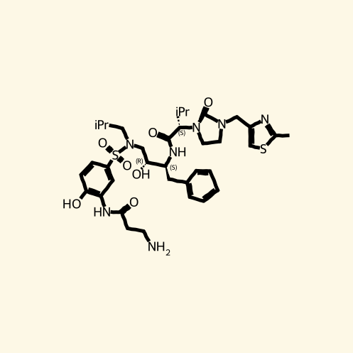 Cc1nc(CN2CCN([C@H](C(=O)N[C@@H](Cc3ccccc3)[C@H](O)CN(CC(C)C)S(=O)(=O)c3ccc(O)c(NC(=O)CCN)c3)C(C)C)C2=O)cs1